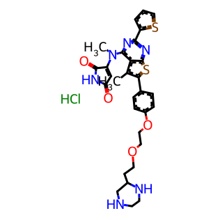 Cc1c(-c2ccc(OCCOCCC3CNCCN3)cc2)sc2nc(-c3cccs3)nc(N(C)C3=CC(=O)NC3=O)c12.Cl